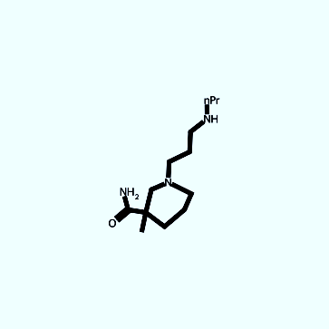 CCCNCCCN1CCCC(C)(C(N)=O)C1